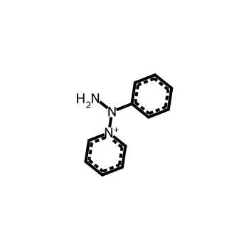 NN(c1ccccc1)[n+]1ccccc1